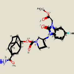 COC(=O)Cn1c(=O)n(C2CCN(C(=O)OC3C4CC5CC3CC(C(N)=O)(C5)C4)C2)c2ccc(F)cc21